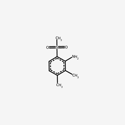 Cc1ccc(S(C)(=O)=O)c(N)c1C